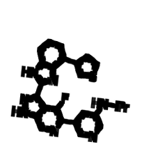 CC(C)Nc1cncc(-c2ncc3[nH]nc(-c4nc5c(-c6ccsc6)cccc5[nH]4)c3c2F)c1